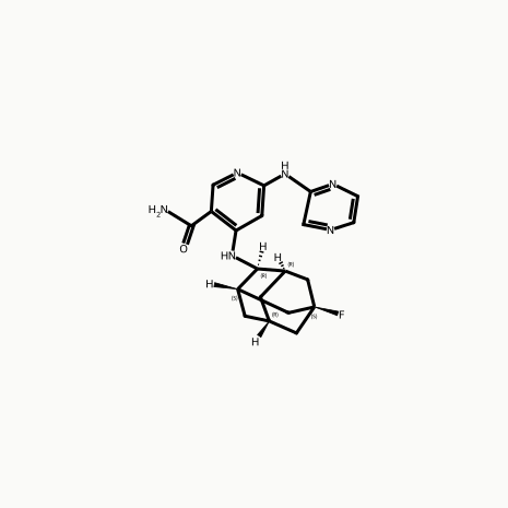 NC(=O)c1cnc(Nc2cnccn2)cc1N[C@H]1[C@@H]2C[C@H]3C[C@H]1C[C@@](F)(C3)C2